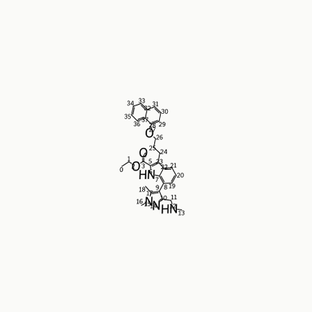 CCOC(=O)c1[nH]c2c(-c3c(CNC)nn(C)c3C)cccc2c1CCCOc1cccc2ccccc12